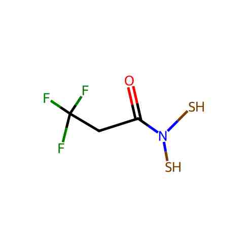 O=C(CC(F)(F)F)N(S)S